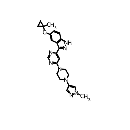 Cn1cc(N2CCN(c3cc(-c4n[nH]c5ccc(OC6(C)CC6)cc45)ncn3)CC2)cn1